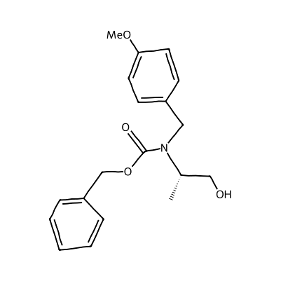 COc1ccc(CN(C(=O)OCc2ccccc2)[C@@H](C)CO)cc1